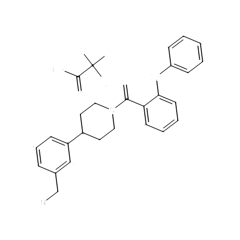 NCc1cccc(C2CCN(C(=O)c3ccccc3Oc3ccccc3)CC2)c1.O=C(O)C(F)(F)F